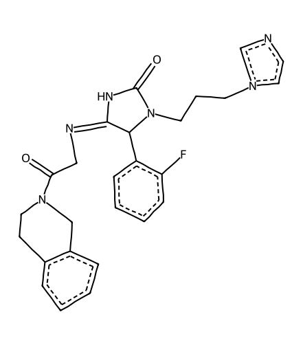 O=C(CN=C1NC(=O)N(CCCn2ccnc2)C1c1ccccc1F)N1CCc2ccccc2C1